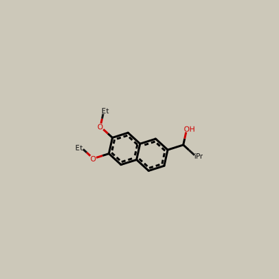 CCOc1cc2ccc(C(O)C(C)C)cc2cc1OCC